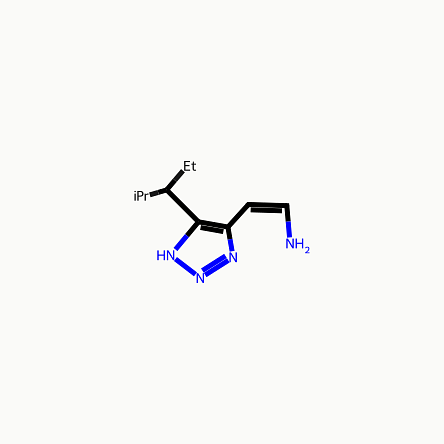 CCC(c1[nH]nnc1/C=C\N)C(C)C